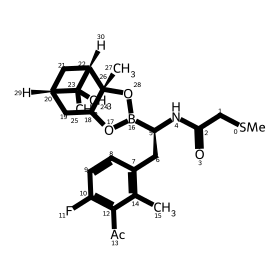 CSCC(=O)N[C@@H](Cc1ccc(F)c(C(C)=O)c1C)B1OC2C[C@@H]3C[C@@H](C3(C)C)[C@]2(C)O1